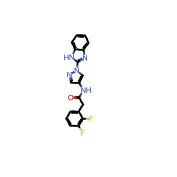 O=C(Cc1cccc(F)c1F)Nc1cnn(-c2nc3ccccc3[nH]2)c1